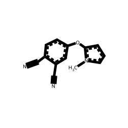 Cn1[c]ccc1Oc1ccc(C#N)c(C#N)c1